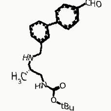 C[C@@H](CNC(=O)OC(C)(C)C)NCc1cccc(-c2ccc(C=O)cc2)c1